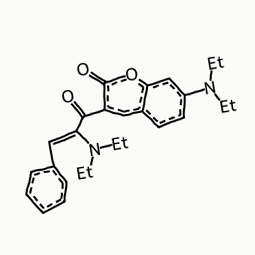 CCN(CC)C(=Cc1ccccc1)C(=O)c1cc2ccc(N(CC)CC)cc2oc1=O